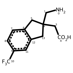 NCC1(CC(=O)O)Cc2ccc(C(F)(F)F)cc2C1